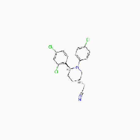 N#CC[C@@H]1CC[C@@H](c2ccc(Cl)cc2Cl)N(c2ccc(Cl)cc2)C1